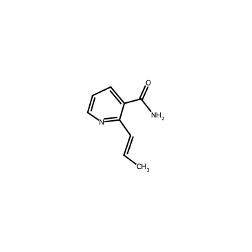 CC=Cc1ncccc1C(N)=O